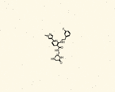 Cn1cc(-c2ccc(C(=O)NC[C@@H]3CNCC(=O)N3)c(NCCc3cccc(F)c3)n2)cn1